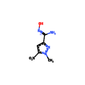 Cn1nc(/C(N)=N/O)cc1[N+](=O)[O-]